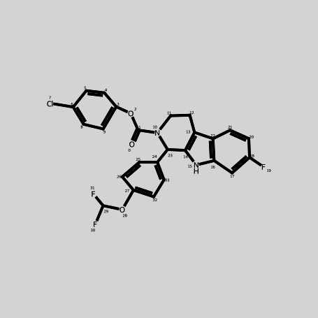 O=C(Oc1ccc(Cl)cc1)N1CCc2c([nH]c3cc(F)ccc23)C1c1ccc(OC(F)F)cc1